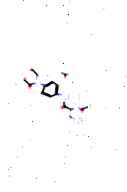 CC(C)(C)C(=O)N[C@@H](CN)C(=O)Nc1ccc(N2CCOCC2=O)cc1OC(F)F